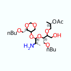 CCCCOC[C@@H]1OCOCC1O[C@@H](O[C@@H](COCCCC)C(CO)OC[C@H](C)OC(C)=O)[C@H](C)N